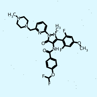 COc1cc(F)c(-c2c(NC(=O)c3ccc(OC(F)F)cc3)c(=O)n(-c3cccc(CN4CCN(C)CC4)n3)n2C)c(F)c1